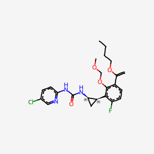 C=C(OCCCC)c1ccc(F)c([C@H]2C[C@H]2NC(=O)Nc2ccc(Cl)cn2)c1OCOC